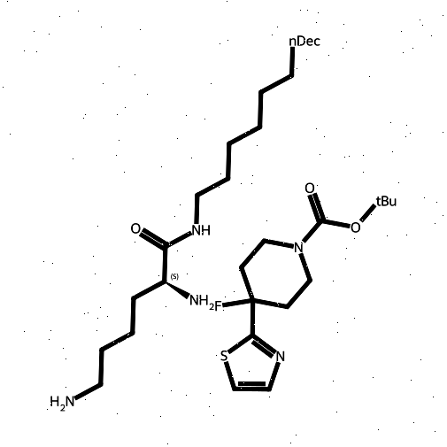 CC(C)(C)OC(=O)N1CCC(F)(c2nccs2)CC1.CCCCCCCCCCCCCCCCNC(=O)[C@@H](N)CCCCN